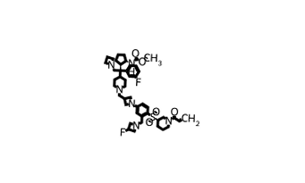 C=CC(=O)N1CCC[C@@H](S(=O)(=O)c2ccc(N3CC(CN4CCC(C(CN5CCC5)(c5cccc(F)c5)[C@H]5CCC[C@@H]5NC(=O)OC)CC4)C3)cc2CN2CC(F)C2)C1